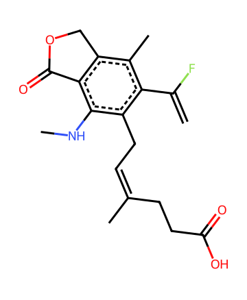 C=C(F)c1c(C)c2c(c(NC)c1CC=C(C)CCC(=O)O)C(=O)OC2